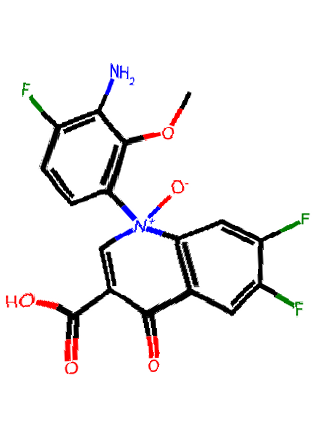 COc1c([N+]2([O-])C=C(C(=O)O)C(=O)c3cc(F)c(F)cc32)ccc(F)c1N